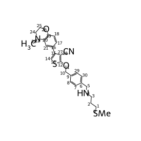 CSCCCNCc1ccc(COc2scc(-c3ccc4c(c3)N(C)CCO4)c2C#N)cc1